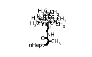 CCCCCCCC=C(C)C(=O)NCCC[Si](O[Si](C)(C)C)(O[Si](C)(C)C)O[Si](C)(C)C